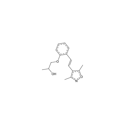 Cc1noc(C)c1C=Cc1ccccc1OCC(C)O